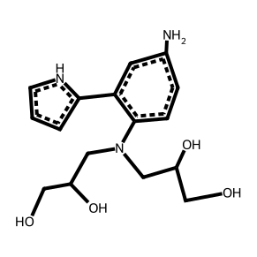 Nc1ccc(N(CC(O)CO)CC(O)CO)c(-c2ccc[nH]2)c1